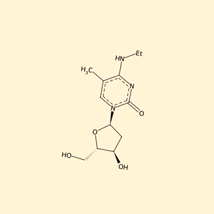 CCNc1nc(=O)n([C@H]2C[C@@H](O)[C@H](CO)O2)cc1C